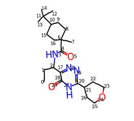 CCC(NC(=O)C1(C)CCC(C(C)(C)C)CC1)c1nnc(C2CCOCC2)[nH]c1=O